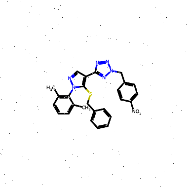 Cc1cccc(C)c1-n1ncc(-c2nnn(Cc3ccc([N+](=O)[O-])cc3)n2)c1SCc1ccccc1